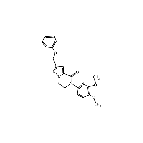 COc1ccc(N2CCn3nc(COc4ccccc4)cc3C2=O)nc1OC